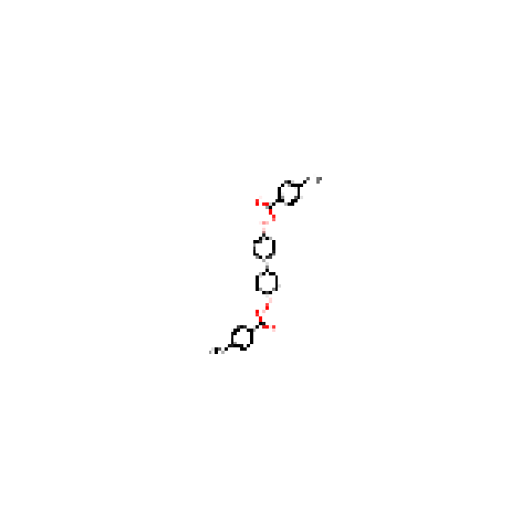 CCCc1ccc(C(=O)OOC2=CCC(C3CCC(OOC(=O)c4ccc(CCC)cc4)CC3)CC2)cc1